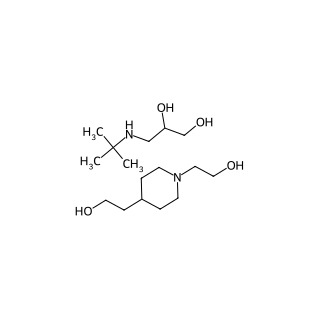 CC(C)(C)NCC(O)CO.OCCC1CCN(CCO)CC1